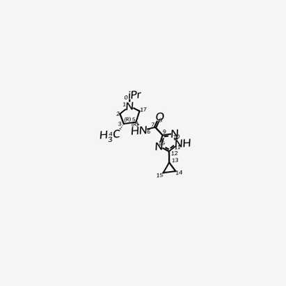 CC(C)N1C[C@@H](C)[C@@H](NC(=O)c2n[nH]c(C3CC3)n2)C1